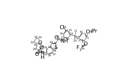 CC(C)Oc1cc(OC(F)(F)F)cc(C(C)(C)c2cc(Cl)cc(NC(=O)c3cc4cc(NS(=O)(=O)CC5CCCO5)ccc4s3)c2)c1